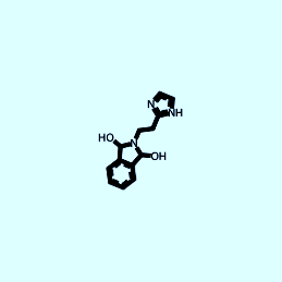 OC1c2ccccc2C(O)N1CCc1ncc[nH]1